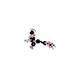 Cc1ccc(S(=O)(=O)n2ccc3c(-c4cc([N+](=O)[O-])ccc4Oc4ccc(CCC5CCN(C(=O)OC(C)(C)C)CC5)cc4)cn(C)c(=O)c32)cc1